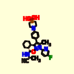 Cc1c(-c2ccc(N3CCS(O)(O)CC3)cc2)c([C@@H]2CCCC[C@H]2C(=O)N[C@@H](C)C#N)nn1-c1ccc(F)cn1